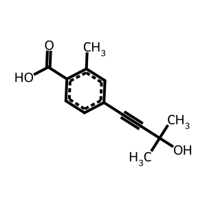 Cc1cc(C#CC(C)(C)O)ccc1C(=O)O